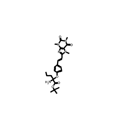 CCCC(N)(Oc1ccc(C=Cc2nc3c(c(=O)n(C)c(=O)n3C)n2C)cc1)C(=O)OC(C)(C)C